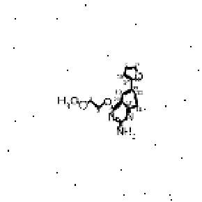 COCCOc1nc(N)nc2ccc(-c3ccco3)cc12